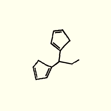 C[C]C(C1=CC=CC1)C1=CC=CC1